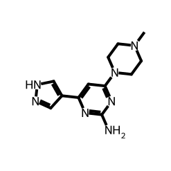 CN1CCN(c2cc(-c3cn[nH]c3)nc(N)n2)CC1